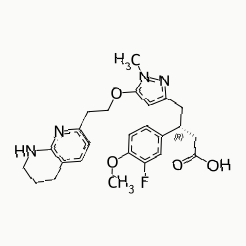 COc1ccc([C@@H](CC(=O)O)Cc2cc(OCCc3ccc4c(n3)NCCC4)n(C)n2)cc1F